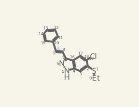 CCSc1cc2[nH]nc(/C=C/c3ccccc3)c2cc1Cl